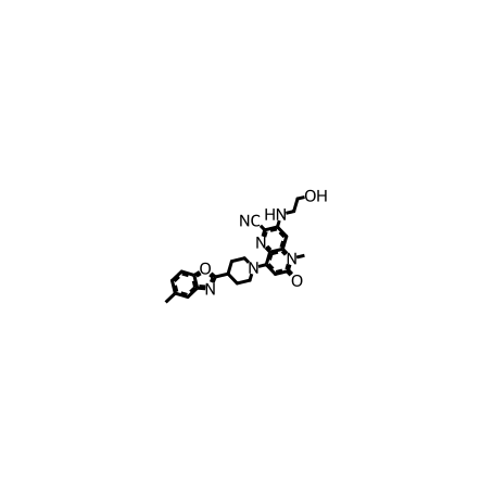 Cc1ccc2oc(C3CCN(c4cc(=O)n(C)c5cc(NCCO)c(C#N)nc45)CC3)nc2c1